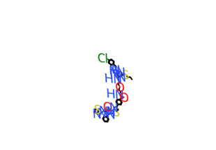 CCCSc1nc(NCCOCCNC(=O)c2ccc(-c3csc(N4N=C(c5ccccc5)/C(=N\Nc5nccs5)C4=O)n3)cc2)c2nnn(Cc3ccc(Cl)cc3)c2n1